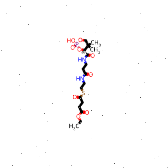 CCOC(=O)CCC(=O)SCCNC(=O)CCNC(=O)[C@@H]1OP(=O)(O)OCC1(C)C